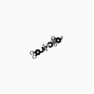 O=S(=O)(c1ccc(F)cc1Cl)C1CCN(c2nc(Cc3ccc(Cl)c(Cl)c3)cs2)CC1